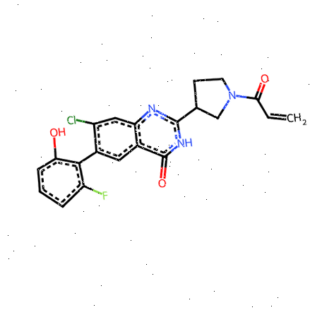 C=CC(=O)N1CCC(c2nc3cc(Cl)c(-c4c(O)cccc4F)cc3c(=O)[nH]2)C1